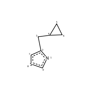 c1nc(CC2CC2)cs1